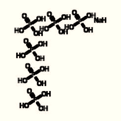 O=P(O)(O)O.O=P(O)(O)O.O=P(O)(O)O.O=P(O)(O)O.O=P(O)(O)O.O=P(O)(O)O.[NaH]